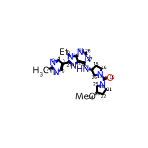 CCn1c(-c2cnc(C)nc2)nc2c(NC3CCN(C(=O)N4CCC(OC)C4)C3)ncnc21